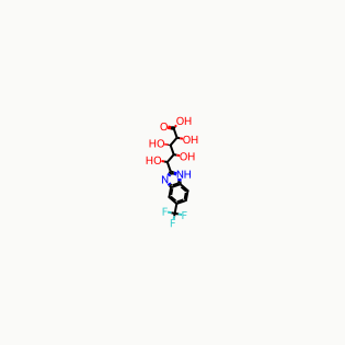 O=C(O)C(O)[C@H](O)C(O)C(O)c1nc2cc(C(F)(F)F)ccc2[nH]1